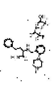 CN1CCN(c2ccccc2CNC(CCc2ccccc2)C(N)=O)CC1.O=C(O)C(F)(F)F.O=C(O)C(F)(F)F